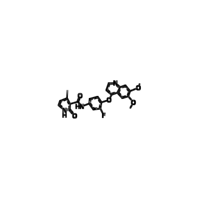 COc1cc2nccc(Oc3ccc(NC(=O)c4c(C)cc[nH]c4=O)cc3F)c2cc1OC